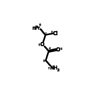 CCCC(Cl)OC(=O)CN